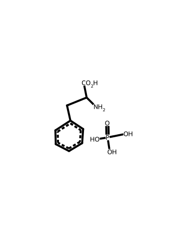 NC(Cc1ccccc1)C(=O)O.O=P(O)(O)O